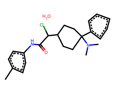 Cc1ccc(NC(=O)C(Cl)C2CCC(c3ccccc3)(N(C)C)CC2)cc1.O